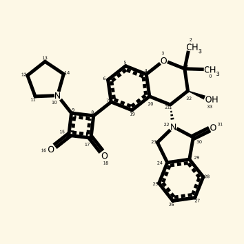 CC1(C)Oc2ccc(-c3c(N4CCCC4)c(=O)c3=O)cc2[C@@H](N2Cc3ccccc3C2=O)[C@@H]1O